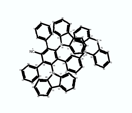 N#Cc1c(-c2ccccc2)c(-n2c3ccccc3c3ccccc32)c(-c2cccc(N3c4ccccc4Sc4ccccc43)c2)c(-n2c3ccccc3c3ccccc32)c1-c1ccccc1